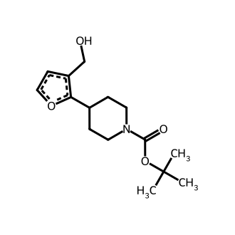 CC(C)(C)OC(=O)N1CCC(c2occc2CO)CC1